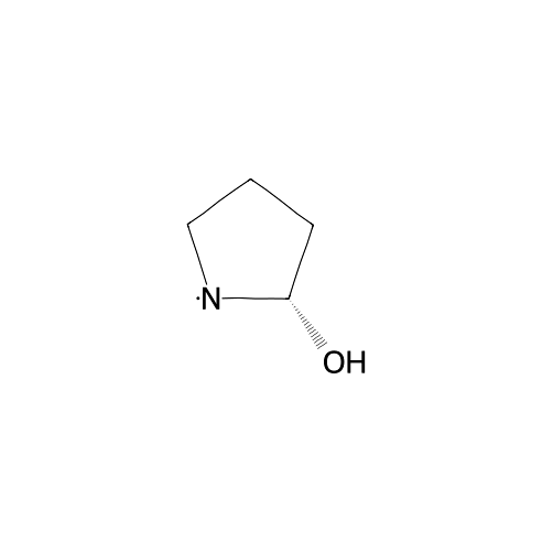 O[C@H]1CCC[N]1